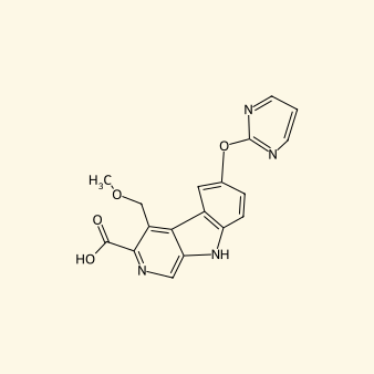 COCc1c(C(=O)O)ncc2[nH]c3ccc(Oc4ncccn4)cc3c12